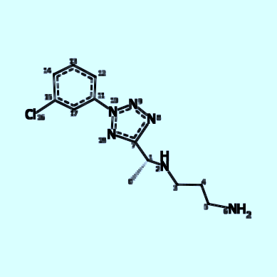 C[C@@H](NCCCN)c1nnn(-c2cccc(Cl)c2)n1